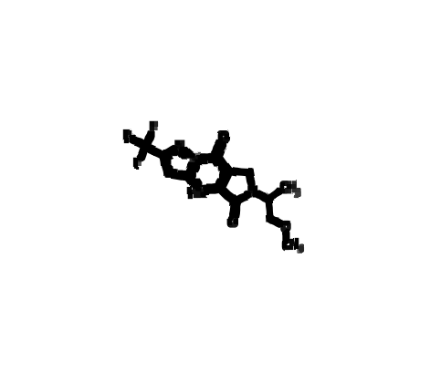 COC[C@H](C)N1Cc2c([nH]c3cc(C(F)(F)F)nn3c2=O)C1=O